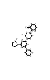 CC1CCCN1c1nc(-c2cccnc2)cc(N2CCN(c3ncccc3Cl)C[C@H]2C)n1